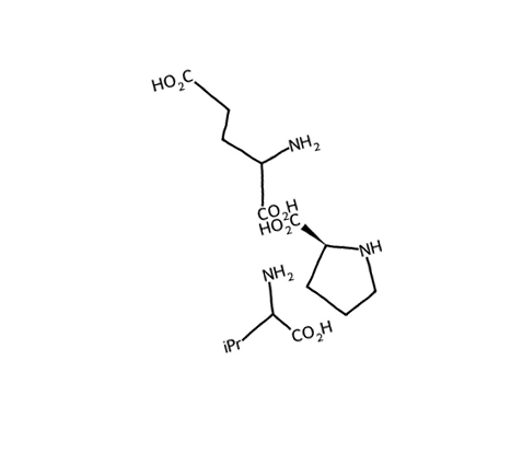 CC(C)C(N)C(=O)O.NC(CCC(=O)O)C(=O)O.O=C(O)[C@@H]1CCCN1